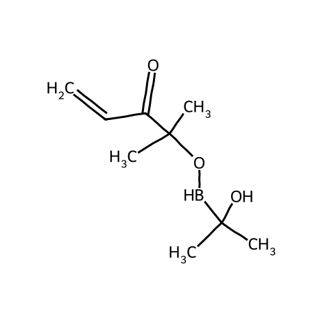 C=CC(=O)C(C)(C)OBC(C)(C)O